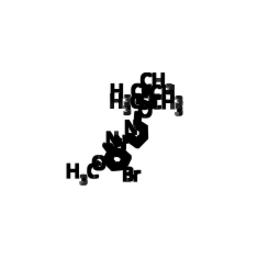 COc1cc(Br)cc2c1cnn2-c1cccc(CO[Si](C)(C)C(C)(C)C)n1